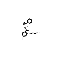 CCCCCn1cc(C(=O)NC2(c3ccccc3)CC2)c2ccc(F)cc21